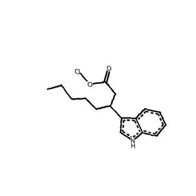 CCCCCC(CC(=O)OCl)c1c[nH]c2ccccc12